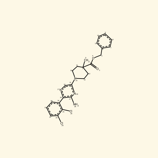 CC1(C(=O)OCc2ccccc2)CCN(c2cnc(-c3cccc(Cl)c3Cl)c(N)n2)CC1